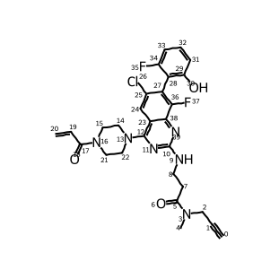 C#CCN(C)C(=O)CCNc1nc(N2CCN(C(=O)C=C)CC2)c2cc(Cl)c(-c3c(O)cccc3F)c(F)c2n1